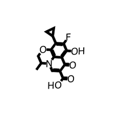 CC1COc2c(C3CC3)c(F)c(O)c3c(=O)c(C(=O)O)cn1c23